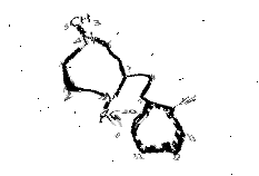 CC(=O)N1CCN(C)C[C@H]1Cc1ccccc1